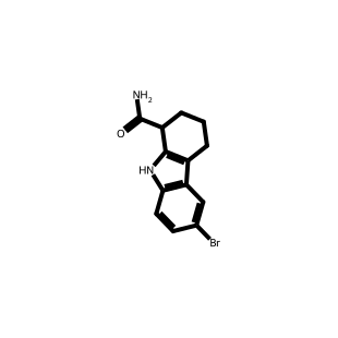 NC(=O)C1CCCc2c1[nH]c1ccc(Br)cc21